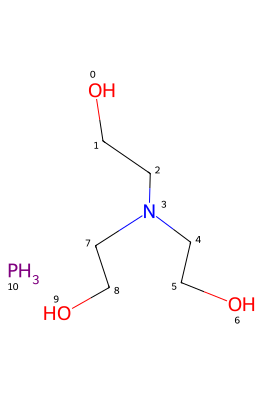 OCCN(CCO)CCO.P